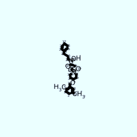 Cc1ccc(C)c(COC2CCN(S(=O)(=O)CC(=O)N(O)CCCc3ccccc3)CC2)c1